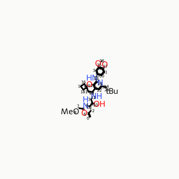 C=CC[C@H](NC(=O)COC)[C@H](O)CN[C@H]1CC2(CCC2)Oc2c1cc(CC(C)(C)C)nc2Nc1ccc2c(c1)OCO2